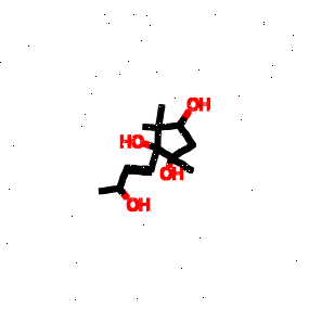 CC(O)C=CC1(O)C(C)(O)CC(O)C1(C)C